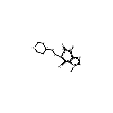 Cn1cnc2c1c(=O)n(CCC1CCOCC1)c(=O)n2C